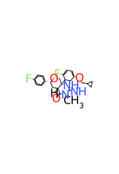 CN1C(=N)N[C@@]2(C3CC(OCC4CC4)=CC=C3F)CO[C@@H](c3ccc(F)cc3)C[C@H]2C1=O